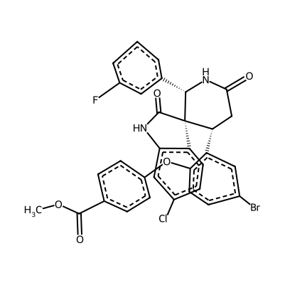 COC(=O)c1ccc(Oc2ccc(Br)cc2[C@H]2CC(=O)N[C@@H](c3cccc(F)c3)[C@]23C(=O)Nc2cc(Cl)ccc23)cc1